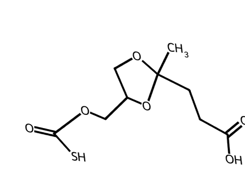 CC1(CCC(=O)O)OCC(COC(=O)S)O1